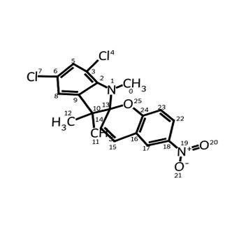 CN1c2c(Cl)cc(Cl)cc2C(C)(C)C12C=Cc1cc([N+](=O)[O-])ccc1O2